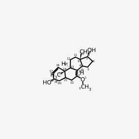 COC1=C2[C@@H]3CC[C@H](O)[C@@]3(C)CC[C@@H]2[C@@]2(C)C=C[C@H](O)CC2C1